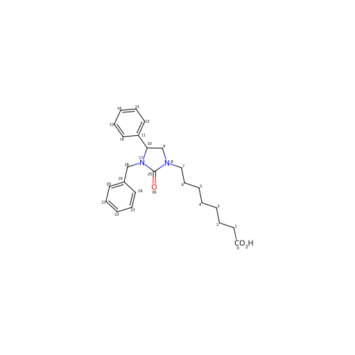 O=C(O)CCCCCCCN1CC(c2ccccc2)N(Cc2ccccc2)C1=O